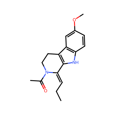 CCC=C1c2[nH]c3ccc(OC)cc3c2CCN1C(C)=O